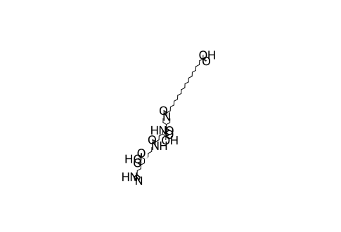 O=C(O)CCCCCCCCCCCCCCCCCCC(=O)N1CCC(C(=O)NC(CCC(=O)NCCCC[C@H](CC(=O)CCc2cnc[nH]2)C(=O)O)C(=O)O)CC1